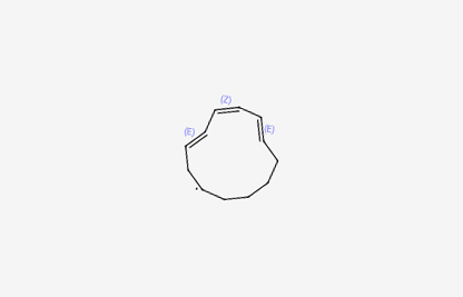 [CH]1C/C=C/C=C\C=C\CCCC1